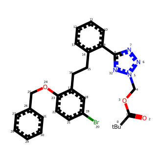 CC(C)(C)C(=O)OCn1nnc(-c2ccccc2CCc2cc(Br)ccc2OCc2ccccc2)n1